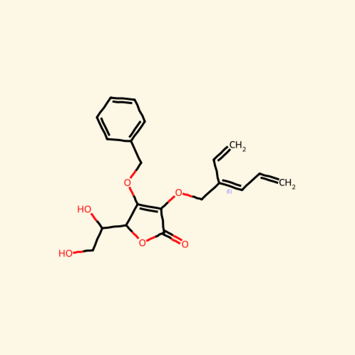 C=C/C=C(\C=C)COC1=C(OCc2ccccc2)C(C(O)CO)OC1=O